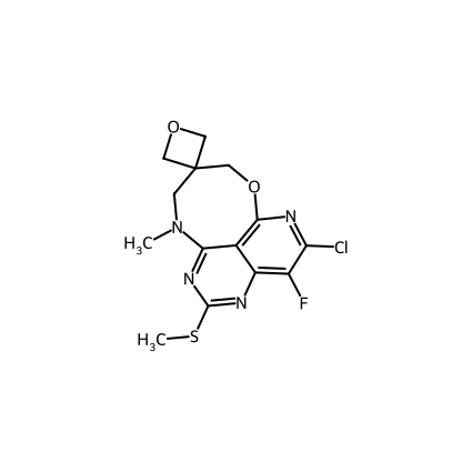 CSc1nc2c3c(nc(Cl)c(F)c3n1)OCC1(COC1)CN2C